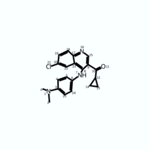 CN(C)c1ccc(Nc2c(C(=O)C3CC3)cnc3ccc(Cl)cc23)cc1